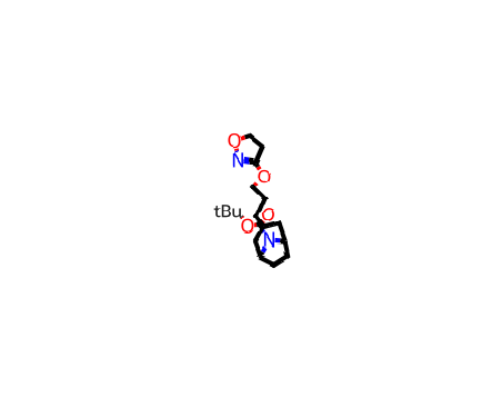 CC(C)(C)OC(=O)N1C2CCC1CC(CCCOC1=NOCC1)C2